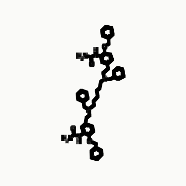 NC(=O)Nc1cc(CCN(CCCCCCN(CCc2ccc(OCc3ccccc3)c(NC(N)=O)c2)Cc2ccccc2)Cc2ccccc2)ccc1OCc1ccccc1